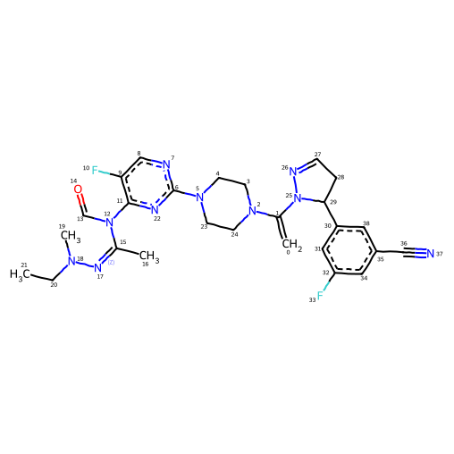 C=C(N1CCN(c2ncc(F)c(N(C=O)/C(C)=N\N(C)CC)n2)CC1)N1N=CCC1c1cc(F)cc(C#N)c1